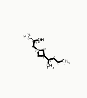 CCCC(C)C1CN(C[C@H](C)O)C1